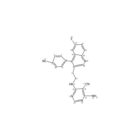 N#Cc1ccc(-c2c(CCNc3ncnc(N)c3C#N)cnc3ccc(F)cc23)cc1